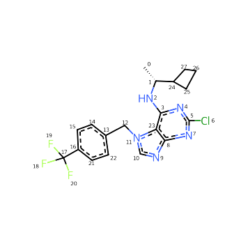 C[C@@H](Nc1nc(Cl)nc2ncn(Cc3ccc(C(F)(F)F)cc3)c12)C1CCC1